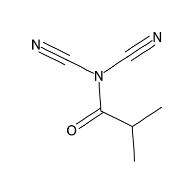 CC(C)C(=O)N(C#N)C#N